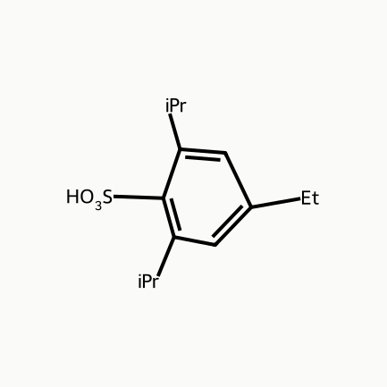 CCc1cc(C(C)C)c(S(=O)(=O)O)c(C(C)C)c1